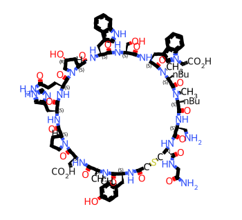 CCCC[C@H]1C(=O)N(C)[C@@H](CCCC)C(=O)N[C@@H](CN)C(=O)N[C@H](C(=O)NCC(N)=O)CSCC(=O)N[C@@H](Cc2ccc(O)cc2)C(=O)N(C)[C@@H](C)C(=O)N[C@@H](CC(=O)O)C(=O)N2CCC[C@H]2C(=O)N[C@@H](Cc2c[nH]cn2)C(=O)N[C@@H](CCC(N)=O)C(=O)N2C[C@H](O)C[C@H]2C(=O)N[C@@H](Cc2c[nH]c3ccccc23)C(=O)N[C@@H](CO)C(=O)N[C@@H](Cc2cn(CC(=O)O)c3ccccc23)C(=O)N1C